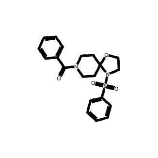 O=C(c1ccccc1)N1CCC2(CC1)OCCN2S(=O)(=O)c1ccccc1